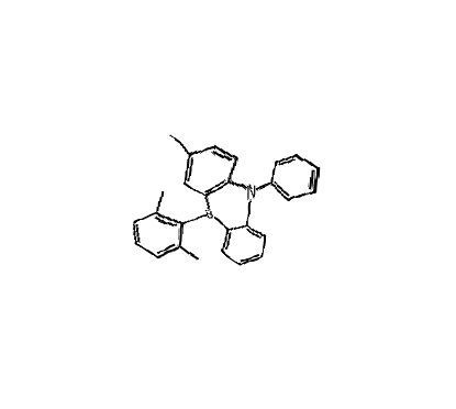 Cc1ccc2c(c1)B(c1c(C)cccc1C)c1ccccc1N2c1ccccc1